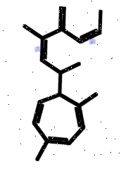 C=C(/C=C\C)/C(C)=C\C(C)C1C=CC(C)=CC=C1C